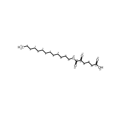 CCCCCCCCCCCCCOC(=O)C(=O)CCCC(=O)O